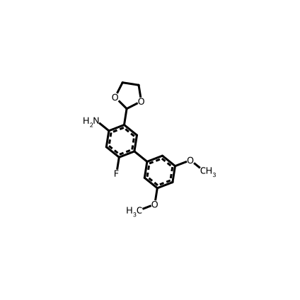 COc1cc(OC)cc(-c2cc(C3OCCO3)c(N)cc2F)c1